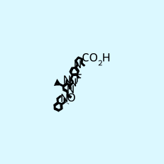 CC1[C@@H](C(=O)O)CCN1c1ccc(-c2nc3c(C4CC4)cc(C(=O)N4CCc5ccccc5[C@H]4C)nc3n2C)c(F)c1